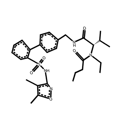 CCCC(=O)N(CC)[C@H](C(=O)NCc1ccc(-c2ccccc2S(=O)(=O)Nc2noc(C)c2C)cc1)C(C)C